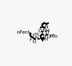 CCCCCC=CC(F)(F)C(=O)NC[C@@]12C[C@@H](C(=O)Nc3nc(C)ccc3C)N(C(=O)OC(C)(C)C)[C@@H]1C2